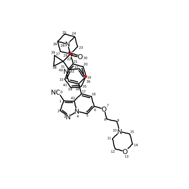 N#Cc1cnn2cc(OCCN3CCOCC3)cc(-c3ccc(N4CC5CC(C4)N5C(=O)C4(c5ccccc5)CC4)nc3)c12